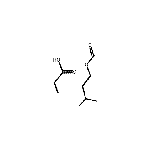 CC(C)CCOC=O.CCC(=O)O